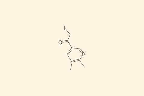 Cc1cc(C(=O)CI)cnc1C